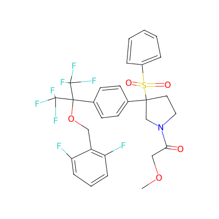 COCC(=O)N1CCC(c2ccc(C(OCc3c(F)cccc3F)(C(F)(F)F)C(F)(F)F)cc2)(S(=O)(=O)c2ccccc2)C1